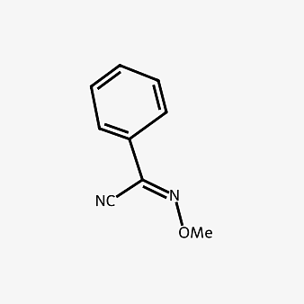 CON=C(C#N)c1ccccc1